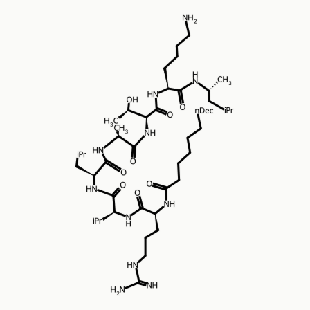 CCCCCCCCCCCCCCCC(=O)N[C@@H](CCCNC(=N)N)C(=O)N[C@H](C(=O)N[C@@H](CC(C)C)C(=O)N[C@@H](C)C(=O)N[C@H](C(=O)N[C@@H](CCCCN)C(=O)N[C@H](C)CC(C)C)[C@@H](C)O)C(C)C